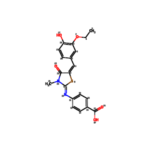 CCOc1cc(/C=C2/S/C(=N\c3ccc(C(=O)O)cc3)N(C)C2=O)ccc1O